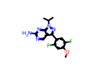 COc1cc(F)c(-c2nn(C(C)C)c3nc(N)ncc23)cc1F